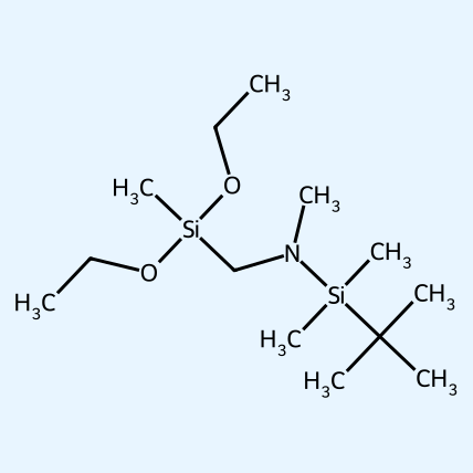 CCO[Si](C)(CN(C)[Si](C)(C)C(C)(C)C)OCC